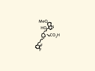 COc1ccc2nccc([C@H](O)CC[C@@H]3CCN(CCCCc4cccc(F)c4F)C[C@H]3CCC(=O)O)c2c1